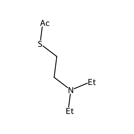 CCN(CC)CCSC(C)=O